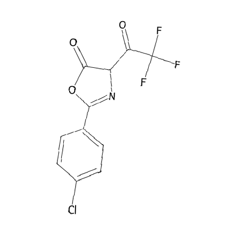 O=C1OC(c2ccc(Cl)cc2)=NC1C(=O)C(F)(F)F